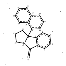 O=C1c2ccccc2C2(c3cccc4ncccc34)CCCN12